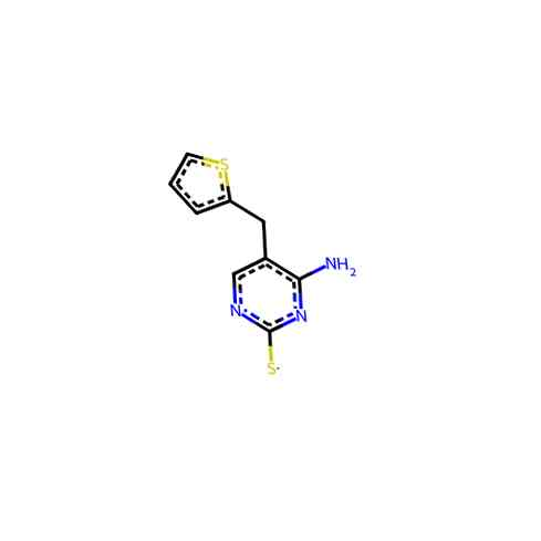 Nc1nc([S])ncc1Cc1cccs1